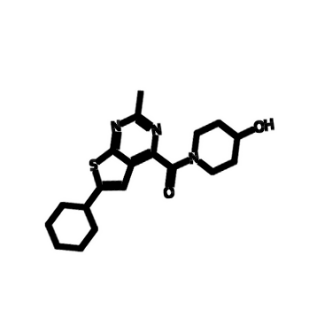 Cc1nc(C(=O)N2CCC(O)CC2)c2cc(C3CCCCC3)sc2n1